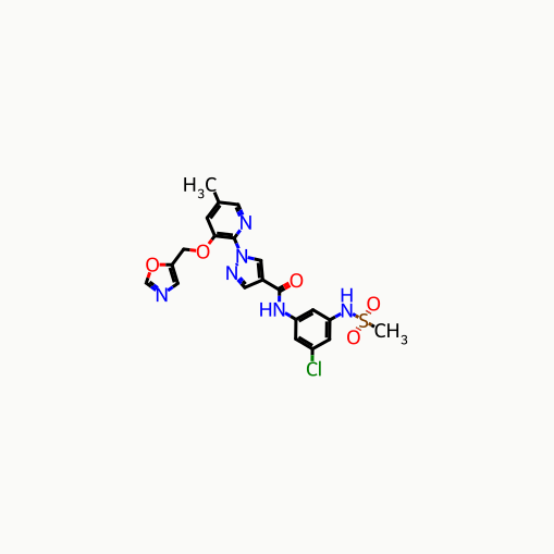 Cc1cnc(-n2cc(C(=O)Nc3cc(Cl)cc(NS(C)(=O)=O)c3)cn2)c(OCc2cnco2)c1